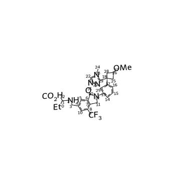 CCC(NCc1cc2c(c(C(F)(F)F)c1)CN(c1cccc([C@]3(c4nncn4C)C[C@H](OC)C3)c1)C2=O)C(=O)O